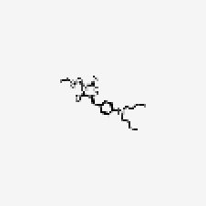 CCCCN(CCCC)c1ccc(/C=C2\SC(=S)N(OOCC)C2=O)cc1